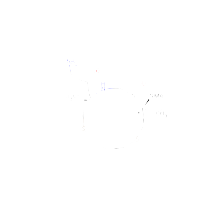 CN[C@@]1(C)CSCCCSC[C@@](C)(C(=O)CN)NCC1=O